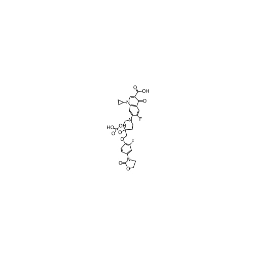 O=C(O)c1cn(C2CC2)c2cc(N3CCC(COc4ccc(N5CCOC5=O)cc4F)(OP(=O)(O)O)CC3)c(F)cc2c1=O